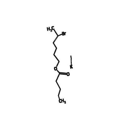 CCCCC(=O)OCCCCC(C)Br.[K][I]